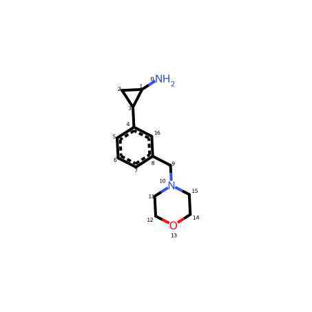 NC1CC1c1cccc(CN2CCOCC2)c1